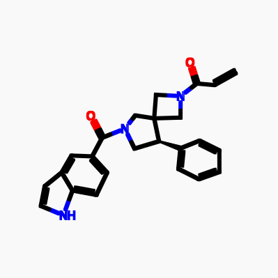 C=CC(=O)N1CC2(C1)CN(C(=O)c1ccc3[nH]ccc3c1)C[C@@H]2c1ccccc1